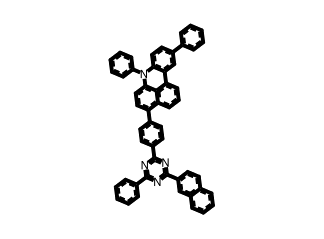 c1ccc(-c2ccc3c(c2)-c2cccc4c(-c5ccc(-c6nc(-c7ccccc7)nc(-c7ccc8ccccc8c7)n6)cc5)ccc(c24)N3c2ccccc2)cc1